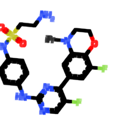 CC(C)N1CCOc2c(F)cc(-c3nc(Nc4ccc(NS(=O)(=O)CCN)cc4)ncc3F)cc21